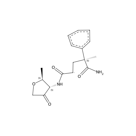 C[C@@H]1OCC(=O)[C@H]1NC(=O)[CH]C[C@](C)(C(N)=O)c1ccccc1